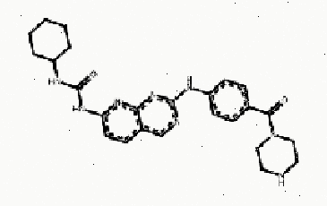 O=C(Nc1ccc2cnc(Nc3ccc(C(=O)N4CCNCC4)cc3)nc2n1)NC1CCCCC1